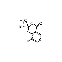 CC1(Br)Cc2c(F)cccc2C(=O)O1